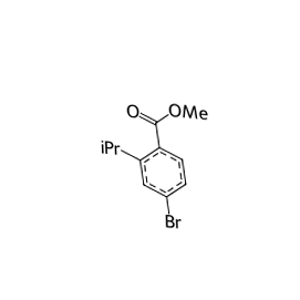 COC(=O)c1ccc(Br)cc1C(C)C